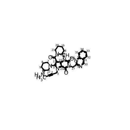 CC#CCn1c(N2CCC[C@@H](N)C2)c(C(=O)N2CCCCC2)c2c1c(=O)n(Cc1ncc3ccccc3n1)c(=O)n2C